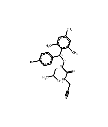 Cc1cc(C)c([C@@H](O[C@@H](CC(C)C)C(=O)NCC#N)c2ccc(Br)cc2)c(C)c1